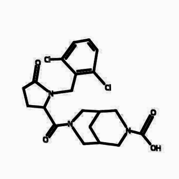 O=C(O)N1CC2CC(C1)CN(C(=O)C1CCC(=O)N1Cc1c(Cl)cccc1Cl)C2